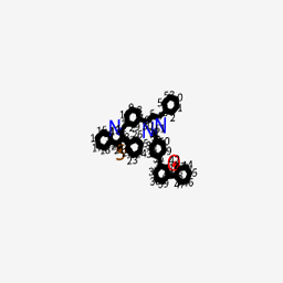 c1ccc(-c2cc(-c3cccc(-c4nc5ccccc5c5sc6ccccc6c45)c3)nc(-c3ccc(-c4cccc5c4oc4ccccc45)cc3)n2)cc1